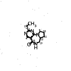 CSc1ncc2c(n1)N1CCCC1CNC2=O